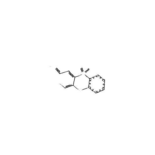 C=C/C=C1\C(=C/C)Nc2ccccc2S1(=O)=O